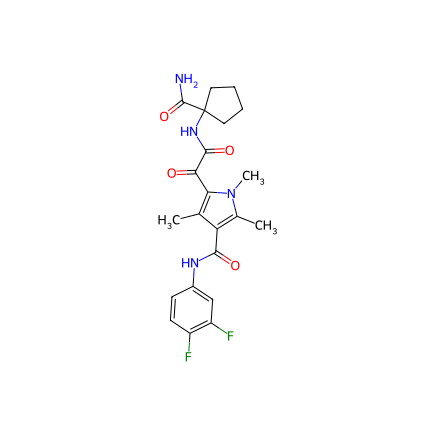 Cc1c(C(=O)Nc2ccc(F)c(F)c2)c(C)n(C)c1C(=O)C(=O)NC1(C(N)=O)CCCC1